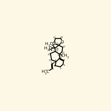 C/C=C/[C@]12CCCC=C1[C@@]1(C)CCC3(OCCO3)C(C)(C)[C@@H]1CC2